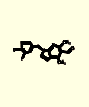 Cc1nc2c(ccn2Cc2ccc(F)c(F)c2)c(C)c1C=O